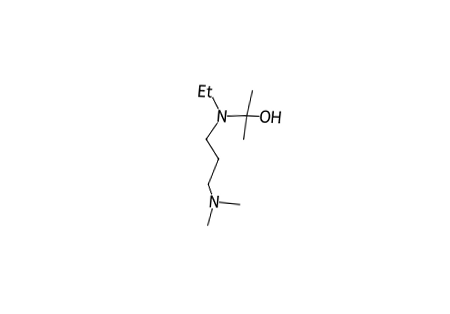 CCN(CCCN(C)C)C(C)(C)O